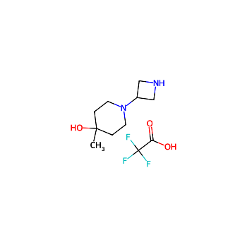 CC1(O)CCN(C2CNC2)CC1.O=C(O)C(F)(F)F